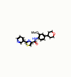 COc1cc(C2CCOCC2)ccc1NC(=O)c1csc(-c2cccnc2)n1